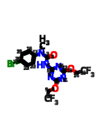 CN(C(=O)Nc1nc(OCC(F)(F)F)nc(OCC(F)(F)F)n1)c1ccc(Br)cc1